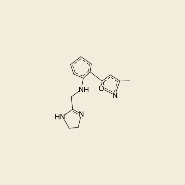 Cc1cc(-c2ccccc2NCC2=NCCN2)on1